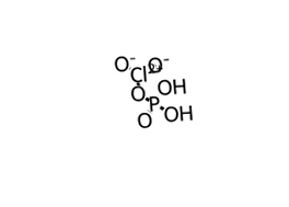 O=P(O)(O)O[Cl+2]([O-])[O-]